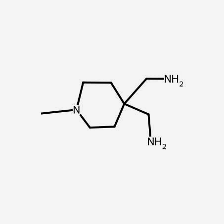 CN1CCC(CN)(CN)CC1